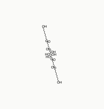 O=C(CCCCC(=O)OCC(O)C(O)C(O)[C@H](O)COC(=O)CCCCC(=O)OCCCCCCCCCCO)OCCCCCCCCCCO